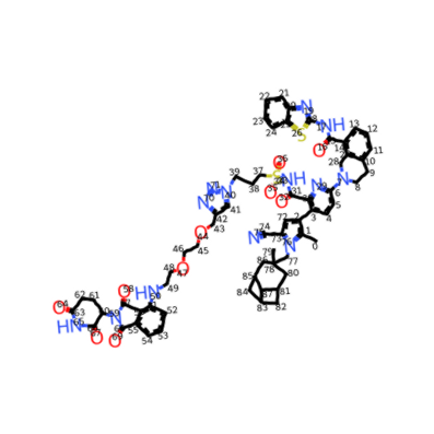 Cc1c(-c2ccc(N3CCc4cccc(C(=O)Nc5nc6ccccc6s5)c4C3)nc2C(=O)NS(=O)(=O)CCCn2cc(COCCOCCNc3cccc4c3C(=O)N(C3CCC(=O)NC3=O)C4=O)nn2)cc(C#N)n1CC1(C)CC2CC3CC(C1)C32